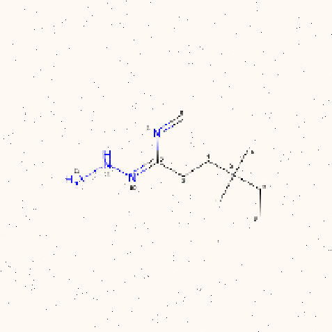 C=N/C(CCC(C)(C)CC)=N\NN